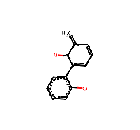 C=C1C=CC=C(c2ccccc2[O])C1[O]